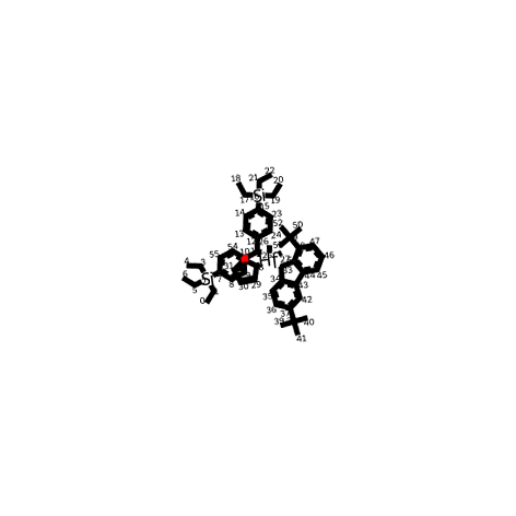 CC[Si](CC)(CC)c1ccc([C](c2ccc([Si](CC)(CC)CC)cc2)=[Hf]([CH3])([CH3])([CH]2C=CC=C2)[CH]2c3ccc(C(C)(C)C)cc3-c3cccc(C(C)(C)C)c32)cc1